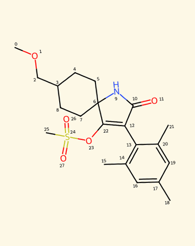 COCC1CCC2(CC1)NC(=O)C(c1c(C)cc(C)cc1C)=C2OS(C)(=O)=O